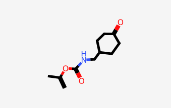 C=C(C)OC(=O)NCC1CCC(=O)CC1